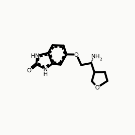 N[C@@H](COc1ccc2[nH]c(=O)[nH]c2c1)C1CCOC1